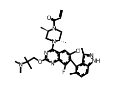 C=CC(=O)N1C[C@H](C)N(c2nc(OCC(C)(C)N(C)C)nc3c(F)c(-c4c(C)ccc5[nH]nc(C)c45)c(Cl)cc23)C[C@H]1C